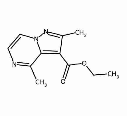 CCOC(=O)c1c(C)nn2ccnc(C)c12